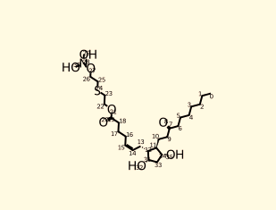 CCCCCCCC(=O)CC[C@@H]1[C@@H](C/C=C\CCCC(=O)OCCSCCON(O)O)[C@@H](O)C[C@H]1O